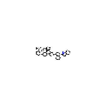 CC1(C)c2ccccc2-c2ccc3c4ccc(-c5ccc(-c6ccc7ccccc7n6)c6ccccc56)cc4c4ccccc4c3c21